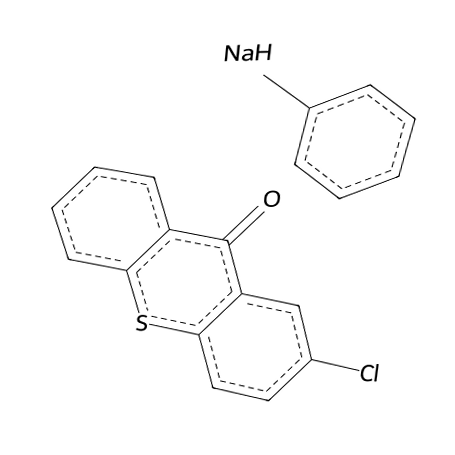 Cc1ccccc1.O=c1c2ccccc2sc2ccc(Cl)cc12.[NaH]